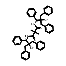 CC(C)(C(=O)N[C@H](c1ccccc1)C(O)(Cc1ccccc1)Cc1ccccc1)C(=O)N[C@H](c1ccccc1)C(O)(Cc1ccccc1)Cc1ccccc1